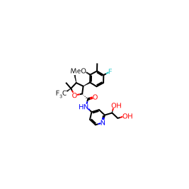 COc1c([C@H]2[C@H](C(=O)Nc3ccnc([C@@H](O)CO)c3)O[C@@](C)(C(F)(F)F)[C@H]2C)ccc(F)c1C